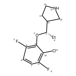 CC[C@H](Oc1c(F)ccc(F)c1Cl)C1CCNC1